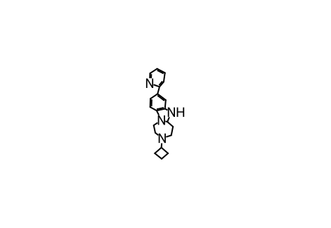 c1ccc(-c2ccc3c(c2)NC2CCN(C4CCC4)CCN32)nc1